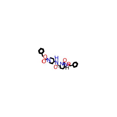 O=C(NC1CCN(C(=O)OCc2ccccc2)CC1)[C@@H]1CC[C@@H]2CN1C(=O)N2OCc1ccccc1